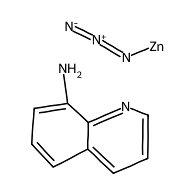 Nc1cccc2cccnc12.[N-]=[N+]=[N][Zn]